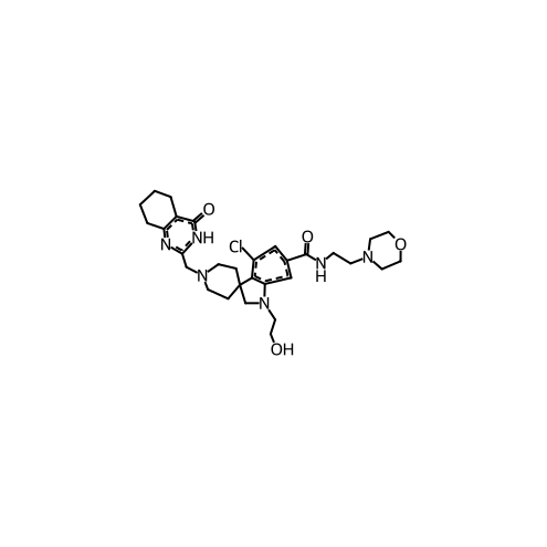 O=C(NCCN1CCOCC1)c1cc(Cl)c2c(c1)N(CCO)CC21CCN(Cc2nc3c(c(=O)[nH]2)CCCC3)CC1